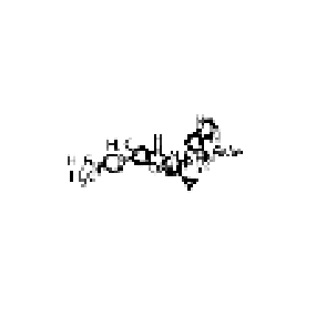 COc1cc(N2CCC(N(C)C)CC2)c(C)cc1Nc1ncc(C2CC2)c(Nc2ccc3nccnc3c2N(C)SC)n1